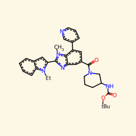 CCn1c(-c2nc3cc(C(=O)N4CCCC(NC(=O)OC(C)(C)C)C4)cc(-c4cccnc4)c3n2C)cc2ccccc21